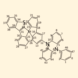 c1ccc(N2c3ccccc3N(c3ccc4c(c3)-c3ccccc3C43c4ccccc4-c4c3sc3ccccc43)c3ccccc32)cc1